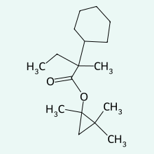 CCC(C)(C(=O)OC1(C)CC1(C)C)C1CCCCC1